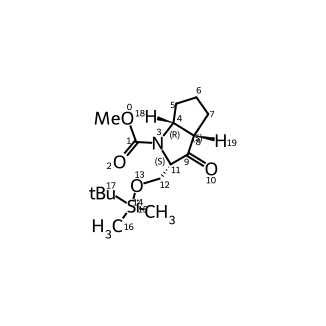 COC(=O)N1[C@@H]2CCC[C@@H]2C(=O)[C@@H]1CO[Si](C)(C)C(C)(C)C